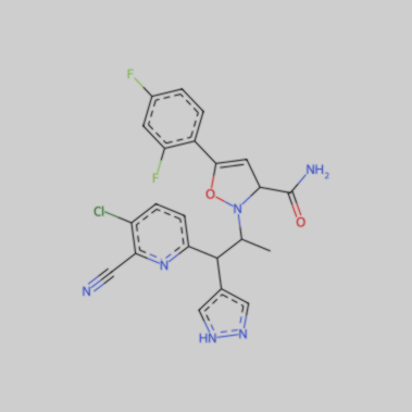 CC(C(c1cn[nH]c1)c1ccc(Cl)c(C#N)n1)N1OC(c2ccc(F)cc2F)=CC1C(N)=O